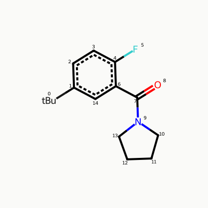 CC(C)(C)c1ccc(F)c(C(=O)N2CCCC2)c1